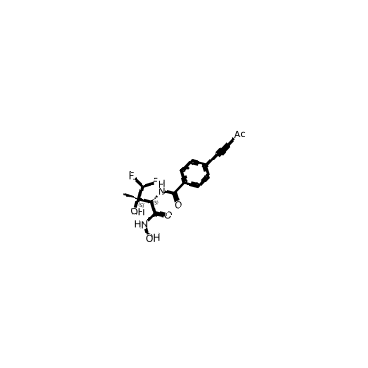 CC(=O)C#Cc1ccc(C(=O)N[C@H](C(=O)NO)[C@](C)(O)C(F)F)cc1